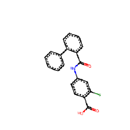 O=C(O)c1ccc(NC(=O)c2ccccc2-c2ccccc2)cc1F